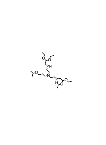 CCOC(CPCCN(CCCOC(C)C)CCPCC(OCC)OCC)OCC